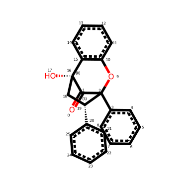 O=C1C2(c3ccccc3)Oc3ccccc3[C@]1(O)C[C@H]2c1ccccc1